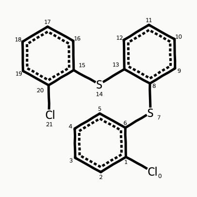 Clc1ccccc1Sc1ccccc1Sc1ccccc1Cl